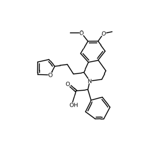 COc1cc2c(cc1OC)C(CCc1ccco1)N(C(C(=O)O)c1ccccc1)CC2